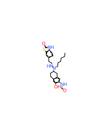 CCCCCCN(NCCc1ccc2[nH]c(=O)sc2c1)C1CCc2cc(O)c(NC=O)cc2C1